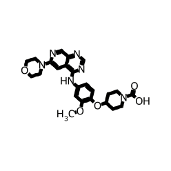 COc1cc(Nc2ncnc3cnc(N4CCOCC4)cc23)ccc1OC1CCN(C(=O)O)CC1